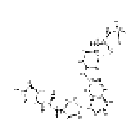 Cc1cc(NC(=O)Nc2ccc(-c3cncc4ccc(CN5CCC(NC(=O)OC(C)(C)C)CC5)cc34)cc2)on1